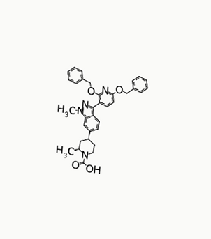 C[C@H]1C[C@@H](c2ccc3c(-c4ccc(OCc5ccccc5)nc4OCc4ccccc4)nn(C)c3c2)CCN1C(=O)O